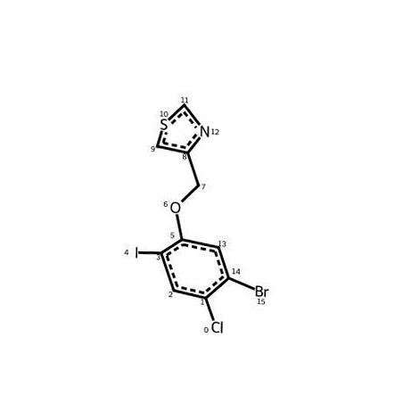 Clc1cc(I)c(OCc2cscn2)cc1Br